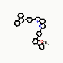 CC12C=CC=CC1c1cccc(-c3ccc(-c4ccc5ccc6ccc(-c7ccc(-c8cc9ccccc9c9ccccc89)cc7)nc6c5n4)cc3)c1O2